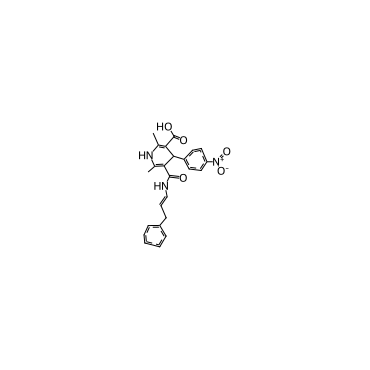 CC1=C(C(=O)O)C(c2ccc([N+](=O)[O-])cc2)C(C(=O)NC=CCc2ccccc2)=C(C)N1